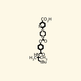 CC(C)(C)CC(C)(C)NC(=O)c1ccc(OC(=O)N2CCN(c3ccc(C(=O)O)cn3)CC2)cc1